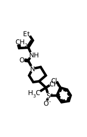 C=C/C(=C\CC)NC(=O)N1CCC(C(C)(C)[S+]([O-])c2ccccc2Cl)CC1